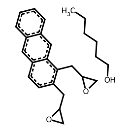 CCCCCCO.c1ccc2cc3c(CC4CO4)c(CC4CO4)ccc3cc2c1